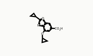 O=C(O)c1cc(OC2CC2)c2nc(C3CC3)oc2c1